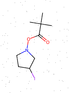 CC(C)(C)C(=O)ON1CCC(I)C1